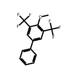 COc1c(C(F)(F)F)cc(-c2ccccc2)cc1C(F)(F)F